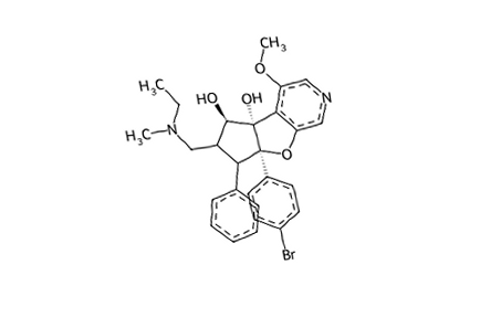 CCN(C)CC1C(c2ccccc2)[C@]2(c3ccc(Br)cc3)Oc3cncc(OC)c3[C@]2(O)[C@@H]1O